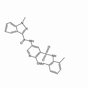 COc1ncc(NC(=O)c2nn(C)c3ccccc23)cc1S(=O)(=O)Nc1c(C)cccc1C